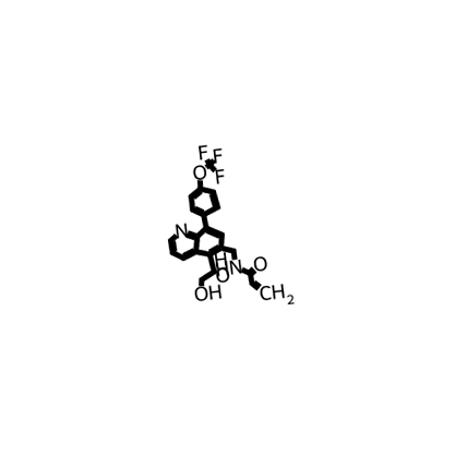 C=CC(=O)NCc1cc(-c2ccc(OC(F)(F)F)cc2)c2ncccc2c1[C@H](O)CO